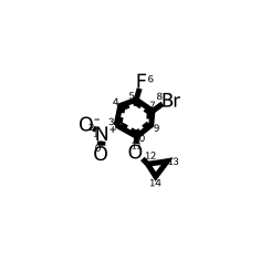 O=[N+]([O-])c1cc(F)c(Br)cc1OC1CC1